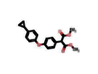 COC(=O)C(C(=O)OC)c1ccc(Oc2ccc(C3CC3)cc2)cc1